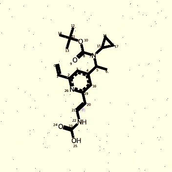 C=Cc1cc(C(C)N(C(=O)OC(C)(C)C)C2CC2)cc(/C=C/NC(=O)O)n1